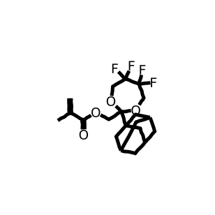 C=C(C)C(=O)OCC1(C23CC4CC(CC(C4)C2)C3)OCC(F)(F)C(F)(F)CO1